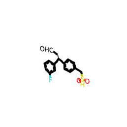 O=CC[C@H](c1ccc(C[SH](=O)=O)cc1)c1cccc(F)c1